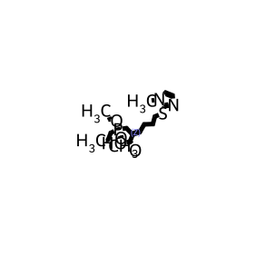 CCOP(=O)(C/C(=C\CCCSc1nccn1C)C(=O)O)CC(C)C